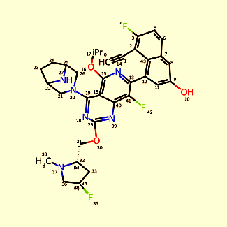 C#Cc1c(F)ccc2cc(O)cc(-c3nc(OC(C)C)c4c(N5CC6CCC(C5)N6)nc(OC[C@@H]5C[C@@H](F)CN5C)nc4c3F)c12